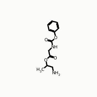 CC(CN)OC(=O)CNC(=O)Oc1ccccc1